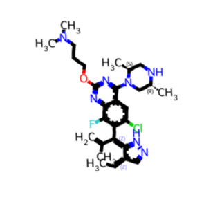 C=C(C)/C(c1c(Cl)cc2c(N3C[C@@H](C)NC[C@@H]3C)nc(OCCCN(C)C)nc2c1F)=c1/[nH]nc/c1=C/C